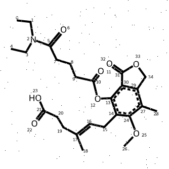 CCN(CC)C(=O)CCCC(=O)Oc1c(C/C=C(\C)CCC(=O)O)c(OC)c(C)c2c1C(=O)OC2